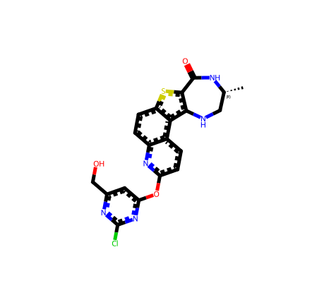 C[C@@H]1CNc2c(sc3ccc4nc(Oc5cc(CO)nc(Cl)n5)ccc4c23)C(=O)N1